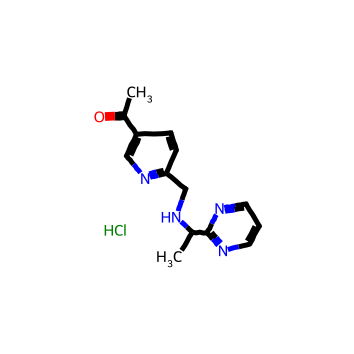 CC(=O)c1ccc(CNC(C)c2ncccn2)nc1.Cl